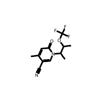 Cc1cc(=O)n(C(C)C(C)OC(F)(F)F)cc1C#N